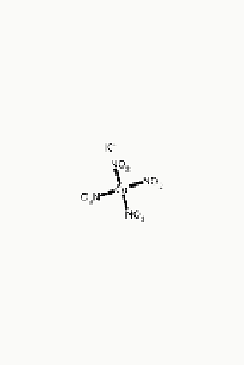 O=[N+]([O-])[Co-]([N+](=O)[O-])([N+](=O)[O-])[N+](=O)[O-].[K+]